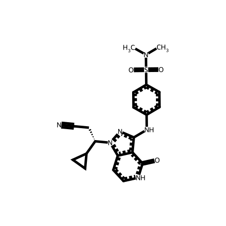 CN(C)S(=O)(=O)c1ccc(Nc2nn([C@@H](CC#N)C3CC3)c3cc[nH]c(=O)c23)cc1